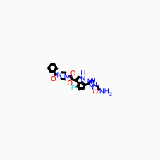 NC(=O)Cn1nnc(-c2ccc(F)c3c(C(=O)C(=O)N4CCN(C(=O)c5ccccc5)CC4)c[nH]c23)n1